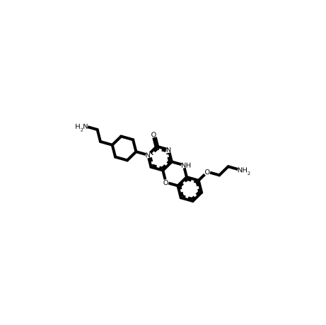 NCCOc1cccc2c1Nc1nc(=O)n(C3CCC(CCN)CC3)cc1O2